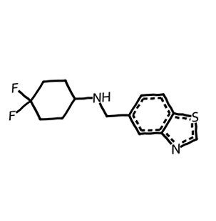 FC1(F)CCC(NCc2ccc3scnc3c2)CC1